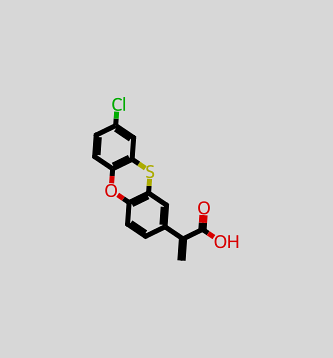 C=C(C(=O)O)c1ccc2c(c1)Sc1cc(Cl)ccc1O2